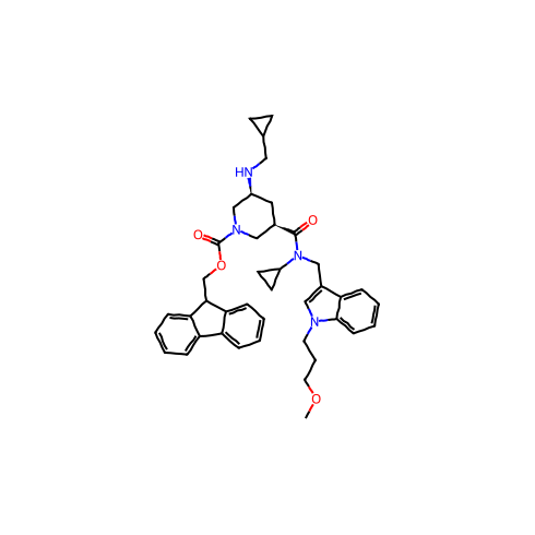 COCCCn1cc(CN(C(=O)[C@@H]2C[C@H](NCC3CC3)CN(C(=O)OCC3c4ccccc4-c4ccccc43)C2)C2CC2)c2ccccc21